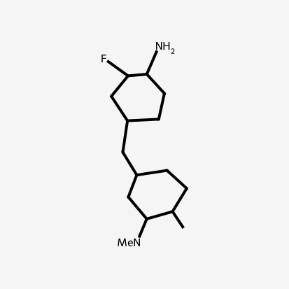 CNC1CC(CC2CCC(N)C(F)C2)CCC1C